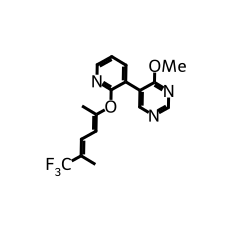 COc1ncncc1-c1cccnc1O/C(C)=C/C=C(\C)C(F)(F)F